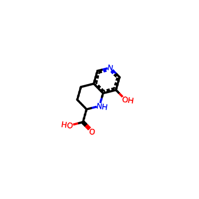 O=C(O)C1CCc2cncc(O)c2N1